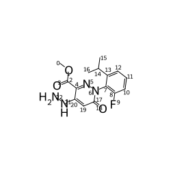 COC(=O)c1nn(-c2c(F)cccc2C(C)C)c(=O)cc1NN